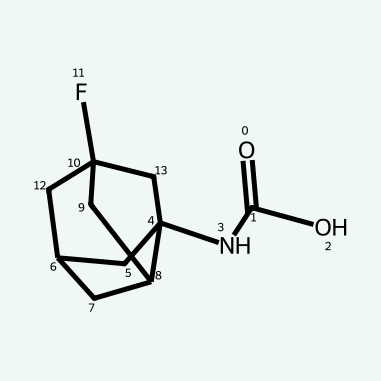 O=C(O)NC12CC3CC1CC(F)(C3)C2